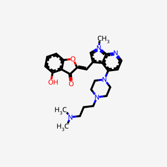 CN(C)CCCN1CCN(c2ccnc3c2c(C=C2Oc4cccc(O)c4C2=O)cn3C)CC1